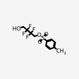 Cc1ccc(S(=O)(=O)OCC(F)(F)C(F)(F)CO)cc1